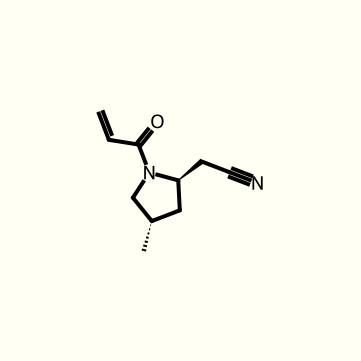 C=CC(=O)N1C[C@@H](C)C[C@@H]1CC#N